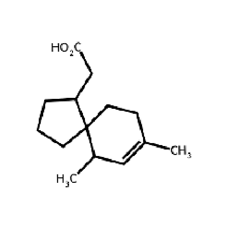 CC1=CC(C)C2(CCCC2CC(=O)O)CC1